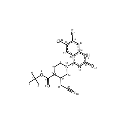 CC(C)(C)OC(=O)N1CCN(c2nc(=O)[nH]c3cc(Br)c(Cl)cc23)CC1CC#N